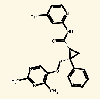 Cc1ccnc(NC(=O)[C@@H]2C[C@@]2(COc2cnc(C)nc2C)c2ccccc2)c1